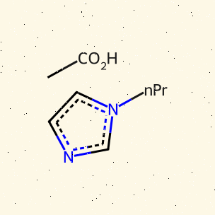 CC(=O)O.CCCn1ccnc1